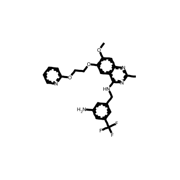 COc1cc2nc(C)nc(NCc3cc(N)cc(C(F)(F)F)c3)c2cc1OCCOc1ccccn1